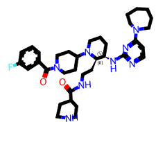 O=C(NCC[C@@H]1[C@@H](Nc2nccc(N3CCCCCC3)n2)CCCN1C1CCN(C(=O)c2cccc(F)c2)CC1)C1CCNCC1